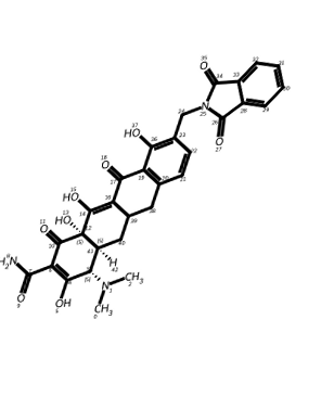 CN(C)[C@@H]1C(O)=C(C(N)=O)C(=O)[C@@]2(O)C(O)=C3C(=O)c4c(ccc(CN5C(=O)c6ccccc6C5=O)c4O)CC3C[C@@H]12